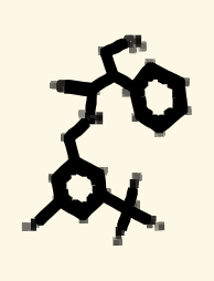 CCC(C(=O)NCc1cc(F)cc(C(F)(F)F)c1)c1ccccc1